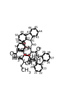 CCC(C)C1NC(=O)c2ccccc2/C1=C/C(=O)Nc1ccccc1-c1ccccc1NC(=O)C(C(C)CC)N(CC1c2ccccc2-c2ccccc21)C(=O)O